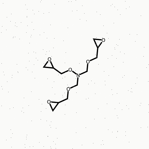 C(OCN(COCC1CO1)OCC1CO1)C1CO1